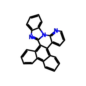 c1ccc2c(c1)nc1c3c4ccccc4c4ccccc4c3c3cccnc3n21